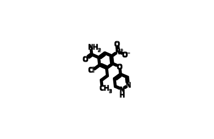 CCCc1c(Cl)c(C(N)=O)cc([N+](=O)[O-])c1OC1=CCNN=C1